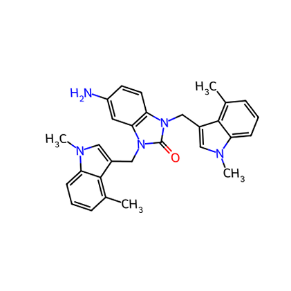 Cc1cccc2c1c(Cn1c(=O)n(Cc3cn(C)c4cccc(C)c34)c3cc(N)ccc31)cn2C